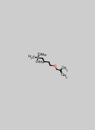 C=C(C)COCCCC[Si](C)(OC)OC